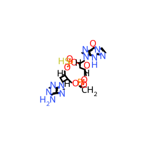 C=C[P@]1(=O)OC[C@@H]2C[C@@H](O[P@](=O)(S)OC[C@H]3C[C@@H](n4cnc5c(N)ncnc54)[C@@H]3CO1)[C@H](n1cnc3c(=O)n4ccnc4[nH]c31)O2